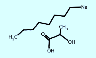 CC(O)C(=O)O.CCCCCCC[CH2][Na]